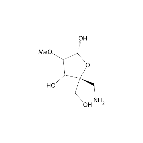 COC1C(O)[C@@](CN)(CO)O[C@H]1O